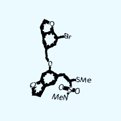 CNS(=O)(=O)C(=Cc1cc2ccoc2cc1OCc1cc(Br)c2occc2c1)SC